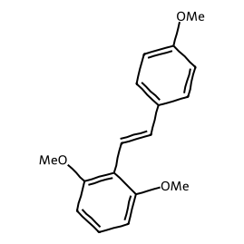 COc1ccc(C=Cc2c(OC)cccc2OC)cc1